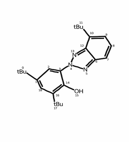 CC(C)(C)c1cc(-n2nc3cccc(C(C)(C)C)c3n2)c(O)c(C(C)(C)C)c1